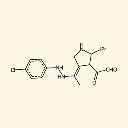 CC(NNc1ccc(Cl)cc1)=C1CNC(C(C)C)C1C(=O)C=O